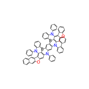 c1ccc(-c2ccccc2N2c3cc4c(cc3B3c5ccccc5N(c5ccccc5)c5c3c2cc2oc3ccccc3c52)B2c3ccccc3N(c3ccccc3)c3c2c(cc2oc5cc6ccccc6cc5c32)N4c2ccccc2)cc1